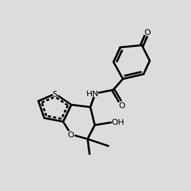 CC1(C)Oc2ccsc2C(NC(=O)C2=CCC(=O)C=C2)C1O